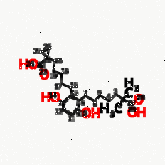 CC(C)(CCCCCc1c(O)ccc(O)c1CCCCCC1(C(=O)O)CC1)C(=O)O